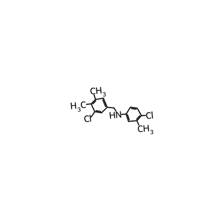 Cc1cc(NCc2cc(C)c(C)c(Cl)c2)ccc1Cl